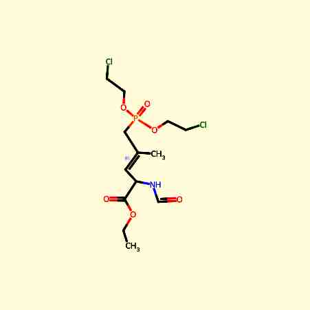 CCOC(=O)C(/C=C(\C)CP(=O)(OCCCl)OCCCl)NC=O